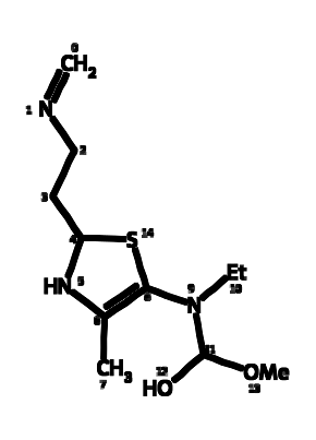 C=NCCC1NC(C)=C(N(CC)C(O)OC)S1